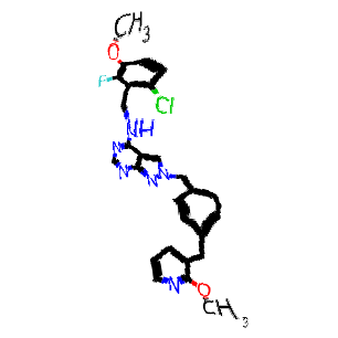 COc1ccc(Cl)c(CNc2ncnc3nn(Cc4ccc(Cc5cccnc5OC)cc4)cc23)c1F